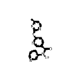 CCN(C(=O)c1ccc(Sc2nccc(C)n2)nc1)c1cccnc1